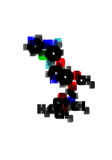 COc1cc2c(Oc3cc(F)c(Nc4cnccc4Cl)cc3F)ccnc2cc1OCCN(C)C(=O)OC(C)(C)C